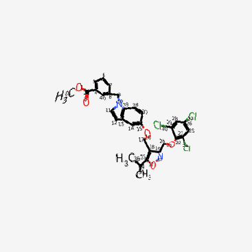 COC(=O)c1cccc(Cn2ccc3cc(OCc4c(COc5c(Cl)cc(Cl)cc5Cl)noc4C(C)C)ccc32)c1